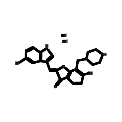 Cl.Cl.O=C1C(=Cc2c[nH]c3ccc(Br)cc23)Oc2c1ccc(O)c2CN1CCNCC1